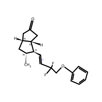 C[C@@H]1C[C@@H]2CC(=O)C[C@@H]2[C@H]1/C=C/C(F)(F)COc1ccccc1